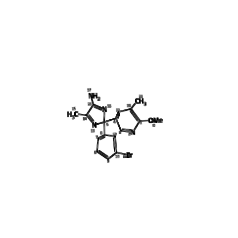 COc1ncc(C2(c3cccc(Br)c3)N=C(C)C(N)=N2)cc1C